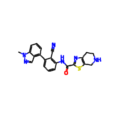 Cn1ncc2c(-c3cccc(NC(=O)c4nc5c(s4)CNCC5)c3C#N)cccc21